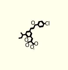 CCC(C)c1cc(C=CC(=O)c2ccc(Cl)cc2)cc2cc(C(=O)OC)c(=O)oc12